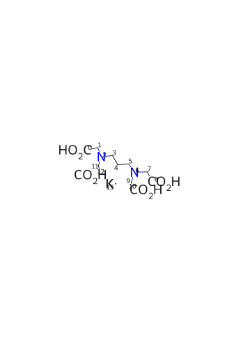 O=C(O)CN(CCCN(CC(=O)O)CC(=O)O)CC(=O)O.[K]